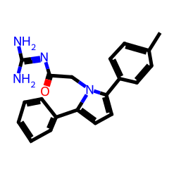 Cc1ccc(-c2ccc(-c3ccccc3)n2CC(=O)N=C(N)N)cc1